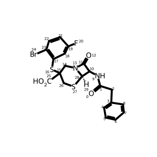 O=C(Cc1ccccc1)NC1C(=O)N2CC(Sc3cc(F)ccc3Br)(C(=O)O)CS[C@H]12